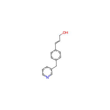 OCC=Cc1ccc(Cc2cccnc2)cc1